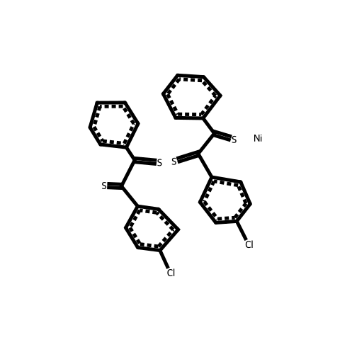 S=C(C(=S)c1ccc(Cl)cc1)c1ccccc1.S=C(C(=S)c1ccc(Cl)cc1)c1ccccc1.[Ni]